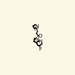 O=C(CCn1cccn1)n1ccc2cc(F)cnc21